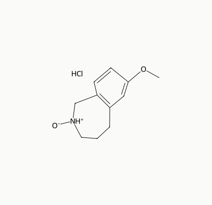 COc1ccc2c(c1)CCC[NH+]([O-])C2.Cl